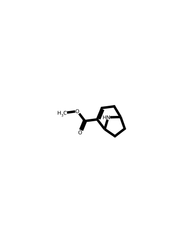 COC(=O)C1=CCC2CCC1N2